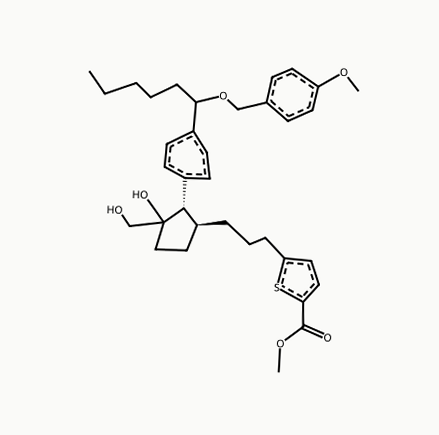 CCCCCC(OCc1ccc(OC)cc1)c1ccc([C@@H]2[C@@H](CCCc3ccc(C(=O)OC)s3)CCC2(O)CO)cc1